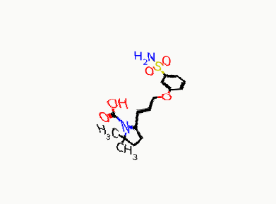 CC1(C)CCC(CCCOc2cccc(S(N)(=O)=O)c2)N1C(=O)O